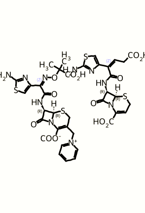 CC(C)(O/N=C(\C(=O)N[C@@H]1C(=O)N2C(C(=O)[O-])=C(C[n+]3ccccc3)CS[C@H]12)c1csc(N)n1)C(=O)O.Nc1nc(/C(=C/CC(=O)O)C(=O)N[C@@H]2C(=O)N3C(C(=O)O)=CCS[C@H]23)cs1